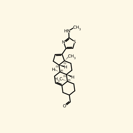 CNc1nc(C2=CC[C@H]3[C@@H]4CC=C5CC(C=O)CC[C@]5(C)[C@H]4CC[C@]23C)cs1